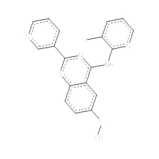 COc1ccc2nc(-c3cccnc3)nc(Nc3ncccc3Cl)c2c1